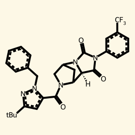 CC(C)(C)c1cc(C(=O)N2CC3CC2[C@@H]2C(=O)N(c4cccc(C(F)(F)F)c4)C(=O)N32)n(Cc2ccccc2)n1